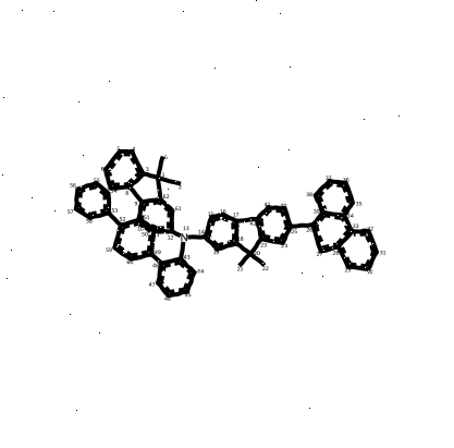 CC1(C)c2ccccc2-c2ccc(N(c3ccc4c(c3)C(C)(C)c3cc(-c5cc6ccccc6c6ccccc56)ccc3-4)c3ccccc3-c3ccc(-c4ccccc4)cc3)cc21